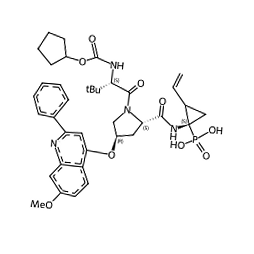 C=CC1C[C@]1(NC(=O)[C@@H]1C[C@@H](Oc2cc(-c3ccccc3)nc3cc(OC)ccc23)CN1C(=O)[C@@H](NC(=O)OC1CCCC1)C(C)(C)C)P(=O)(O)O